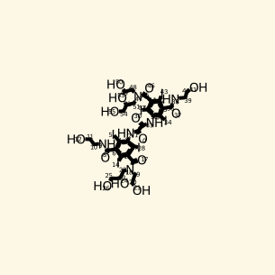 O=C(Nc1c(I)c(C(=O)NCCO)c(I)c(C(=O)N(CCO)CC(O)CO)c1I)C(=O)Nc1c(I)c(C(=O)NCCO)c(I)c(C(=O)N(CCO)CC(O)CO)c1I